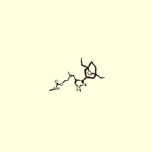 CCC12C=C(c3n[nH]cc3CN(C)CCOC(=O)NC)CC(CC)(CC1)O2